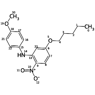 CCCCCOc1ccc([N+](=O)[O-])c(Nc2ccc(OC)cc2)c1